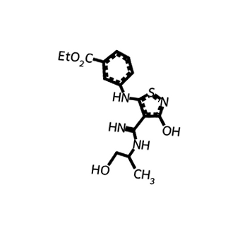 CCOC(=O)c1cccc(Nc2snc(O)c2C(=N)NC(C)CO)c1